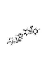 CC(C)C(C(=O)O)N1Cc2sc(-c3ccc(C(=O)c4ccccc4)cc3)cc2S1(=O)=O